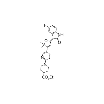 CCOC(=O)C1CCN(c2ccc(C3=C/C(=C4\C(=O)Nc5ccc(F)cc54)OC3(C)C)cn2)CC1